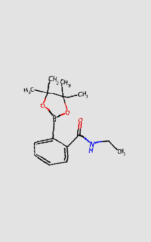 CCNC(=O)c1ccccc1B1OC(C)(C)C(C)(C)O1